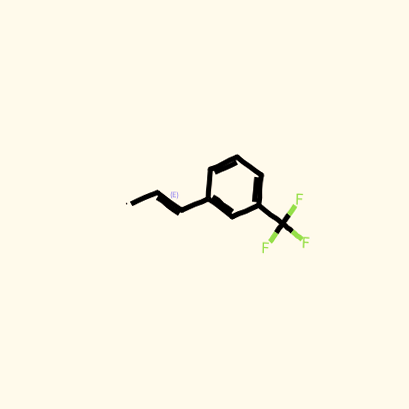 [CH2]/C=C/c1cccc(C(F)(F)F)c1